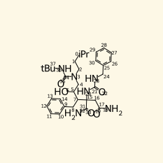 CC(C)CCN(CC(O)C(Cc1ccccc1)C(CC(N)=O)(NC(=O)NCc1ccccc1)C(N)=O)C(=O)NC(C)(C)C